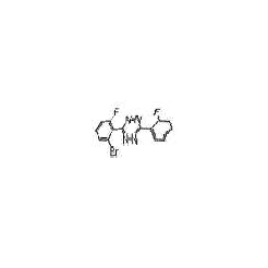 Fc1ccccc1-c1nnc(-c2c(F)cccc2Br)nn1